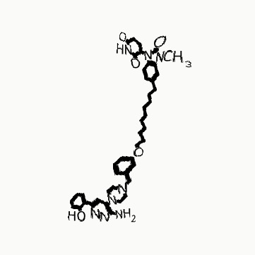 Cn1c(=O)n(C2CCC(=O)NC2=O)c2ccc(CCCCCCCCCCOc3cccc(CN4CCN(c5cc(-c6ccccc6O)nnc5N)CC4)c3)cc21